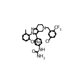 Cc1cccc(OCC(C)C)c1-n1nc2c(c1-c1ccc(NC(N)=O)cc1)CN(Cc1cc(Cl)ccc1C(F)(F)F)CC2